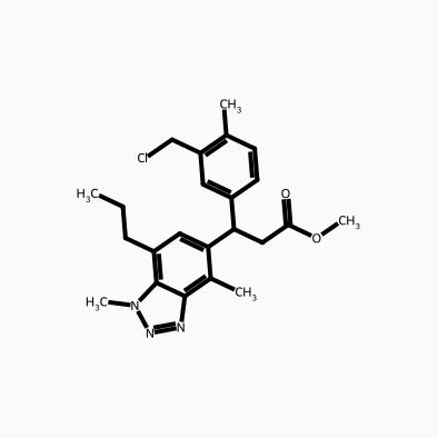 CCCc1cc(C(CC(=O)OC)c2ccc(C)c(CCl)c2)c(C)c2nnn(C)c12